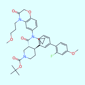 COCCCN1C(=O)COc2ccc(N(C(=O)[C@H]3CN(C(=O)OC(C)(C)C)CC[C@@H]3c3cccc(-c4ccc(OC)cc4F)c3)C3CC3)cc21